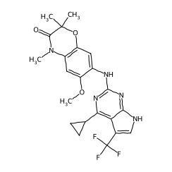 COc1cc2c(cc1Nc1nc(C3CC3)c3c(C(F)(F)F)c[nH]c3n1)OC(C)(C)C(=O)N2C